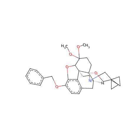 COC1(OC)CC[C@@]2(OCC3CC3)[C@H]3Cc4ccc(OCc5ccccc5)c5c4[C@@]2(CCN3CC2CC2)C1O5